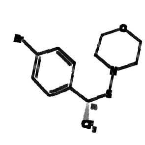 FC(F)(F)[C@@H](SN1CCOCC1)c1ccc(Br)cc1